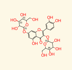 O=c1c(O[C@@H]2OC(CO)[C@H](O)C(O)C2O)c(-c2ccc(O)c(O)c2)oc2cc(O[C@@H]3OC(CO)[C@@H](O)[C@H](O)C3O)cc(O)c12